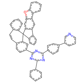 C1=Cc2ccc(-c3nc(-c4ccccc4)nc(-c4ccc(-c5cccnc5)cc4)n3)cc2C2(c3ccccc31)c1ccccc1-c1cc3c(cc12)oc1ccccc13